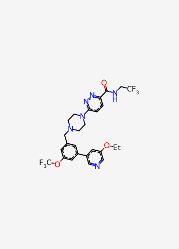 CCOc1cncc(-c2cc(CN3CCN(c4ccc(C(=O)NCC(F)(F)F)nn4)CC3)cc(OC(F)(F)F)c2)c1